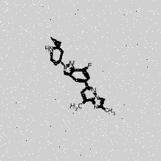 Cc1cn2nc(-c3cc(F)c4nn([C@H]5CCNC6(CC6)C5)cc4c3)cc(C)c2n1